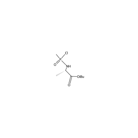 CC(C)COC(=O)[C@H](C)NP(C)(=O)Cl